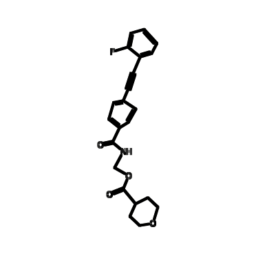 O=C(NCOC(=O)C1CCOCC1)c1ccc(C#Cc2ccccc2F)cc1